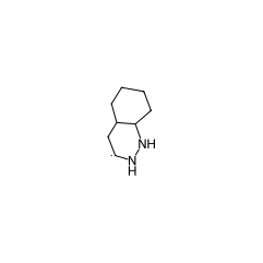 [CH]1CC2CCCCC2NN1